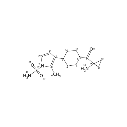 Cc1c(C2CCN(C(=O)C3(N)CC3)CC2)ccn1S(N)(=O)=O